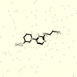 CCOC(=O)C1CCCN(c2ccnc(NCCN)n2)C1